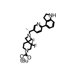 C[C@H](c1ccc(-c2cccc3c2CCN3)nc1)N1CC2(CCN(C(=O)OC(C)(C)C)CC2(F)F)C1